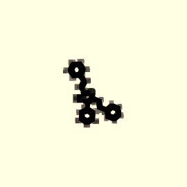 C(=Cc1ccccc1)C1=C(c2ccccc2)NN(C=Cc2ccccc2)O1